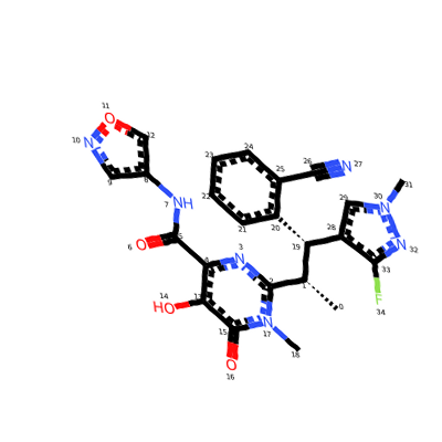 C[C@H](c1nc(C(=O)Nc2cnoc2)c(O)c(=O)n1C)[C@H](c1ccccc1C#N)c1cn(C)nc1F